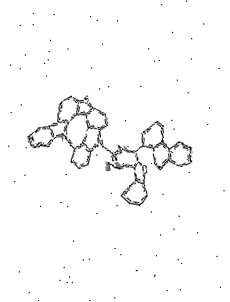 c1ccc2c(c1)ccc1c(-c3nc(-n4c5ccc6sc7ccc8c9ccccc9n9c%10cccc4c%10c5c6c7c89)nc4c3oc3ccccc34)cccc12